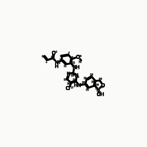 C=CC(=O)Nc1ccc(OC)c(Nc2ncc(Cl)c(Nc3ccc4c(c3)N(O)OC4)n2)c1